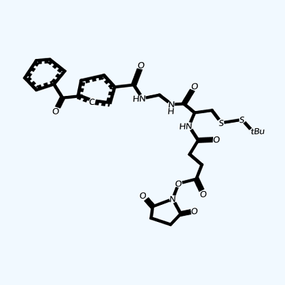 CC(C)(C)SSCC(NC(=O)CCC(=O)ON1C(=O)CCC1=O)C(=O)NCNC(=O)c1ccc(C(=O)c2ccccc2)cc1